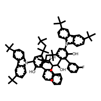 CC(C)(C)CC(C)(C)c1cc(-n2c3ccc(C(C)(C)C)cc3c3cc(C(C)(C)C)ccc32)c(O)c(-c2cccc(F)c2)c1C(O)C(Cc1ccccc1)C(O)c1c(C(C)(C)CC(C)(C)C)cc(-n2c3ccc(C(C)(C)C)cc3c3cc(C(C)(C)C)ccc32)c(O)c1-c1cccc(F)c1